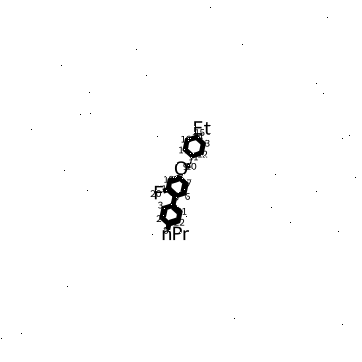 CCCc1ccc(-c2ccc(OC[C@H]3CC[C@H](CC)CC3)cc2F)cc1